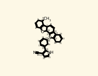 CC1CC=CC2=C1C1C=Cc3c4c(n([C@H]5C=CC=C(c6[nH]ccc6C#N)C5)c3C1O2)CCC=C4